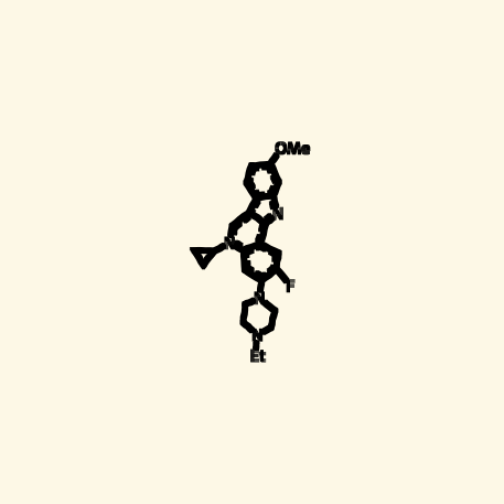 CCN1CCN(c2cc3c(cc2F)c2nc4cc(OC)ccc4c-2cn3C2CC2)CC1